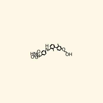 Cc1cc(OCCO)ccc1-c1cccc(CNc2ccc(Cn3oc(=O)[nH]c3=O)cc2)c1C